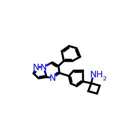 NC1(c2ccc(-c3nc4ccnn4cc3-c3ccccc3)cc2)CCC1